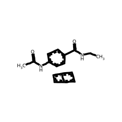 CCNC(=O)c1ccc(NC(C)=O)cc1.c1cc2ccc1-2